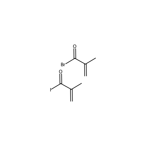 C=C(C)C(=O)Br.C=C(C)C(=O)I